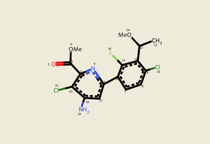 COC(=O)c1nc(-c2ccc(Cl)c(C(C)OC)c2F)cc(N)c1Cl